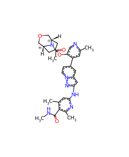 CNC(=O)c1c(C)cc(Nc2cc3cc(-c4cc(C)ncc4OC4C[C@H]5COC[C@@H](C4)N5C(C)=O)ccn3n2)nc1C